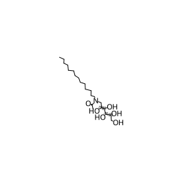 CCCCCCCCCCCCCCN(C[C@H](O)[C@@H](O)[C@H](O)[C@H](O)CO)C(C)=O